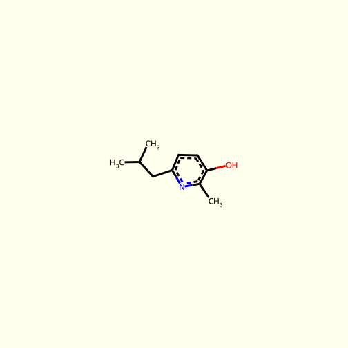 Cc1nc(CC(C)C)ccc1O